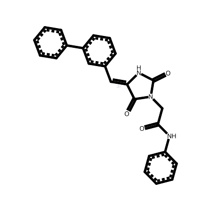 O=C(CN1C(=O)N/C(=C\c2cccc(-c3ccccc3)c2)C1=O)Nc1ccccc1